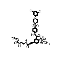 CN(c1ccc(C#CC(=O)NCCNC(=O)OC(C)(C)C)cc1C(=O)Nc1ccc(S(=O)(=O)N2CCN(c3cc(Cl)cc(Cl)c3)CC2)cc1)S(C)(=O)=O